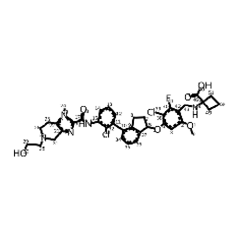 COc1cc(OC2CCc3c(-c4cccc(NC(=O)c5nc6c(n5C)CCN(CCO)C6)c4Cl)cccc32)c(Cl)c(F)c1CNC1(C(=O)O)CCC1